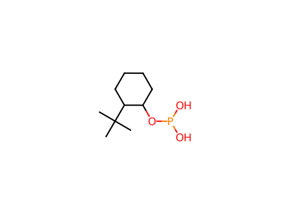 CC(C)(C)C1CCCCC1OP(O)O